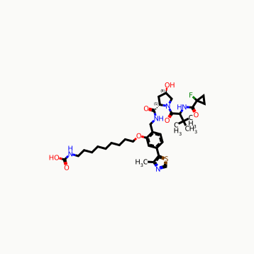 Cc1ncsc1-c1ccc(CNC(=O)[C@@H]2C[C@@H](O)CN2C(=O)C(NC(=O)C2(F)CC2)C(C)(C)C)c(OCCCCCCCCCNC(=O)O)c1